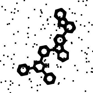 C1=Cc2c(c3cc(-c4cccc5c4sc4ccccc45)ccc3n2-c2cccc(C3=NC(c4ccccc4)=CC(c4ccccc4)N3)c2)CC1